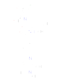 CC(C)C[C@H](NC(=O)c1ccc(-c2csc([C@H](C)N(C)C)n2)cc1)C(=O)N1C[C@H](F)[C@H]2OCC(=O)[C@H]21